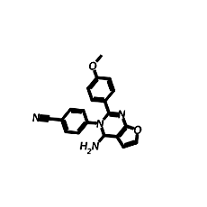 COc1ccc(C2=Nc3occc3C(N)N2c2ccc(C#N)cc2)cc1